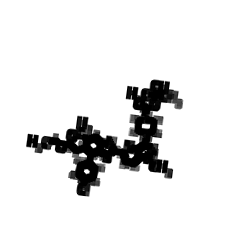 CCOC(=O)Cc1c(C)cc2nc(-c3ccc4c(n3)c(N3CCN(C(=O)OC(C)(C)C)CC3)nn4C)sc2c1-c1ccc(Cl)cc1